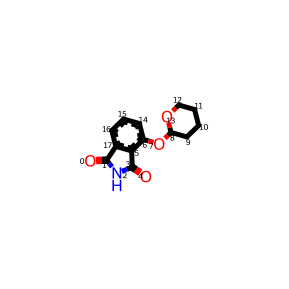 O=C1NC(=O)c2c(OC3CCCCO3)cccc21